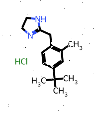 Cc1cc(C(C)(C)C)ccc1CC1=NCCN1.Cl